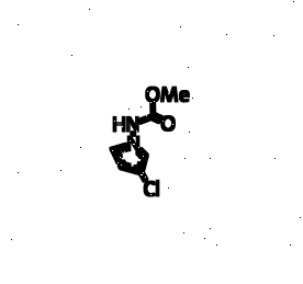 COC(=O)Nn1ccc(Cl)c1